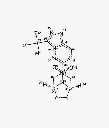 O=C(O)N1[C@@H]2CC[C@H]1CN(c1ccc3nnc(C(F)(F)F)n3n1)C2